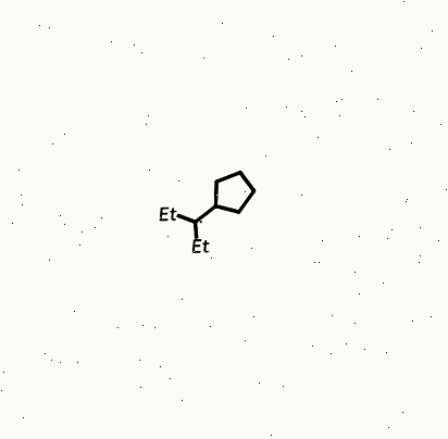 CC[C](CC)C1CCCC1